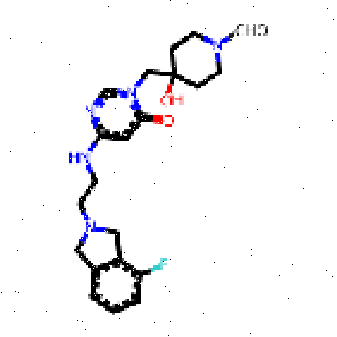 O=CN1CCC(O)(Cn2cnc(NCCN3Cc4cccc(F)c4C3)cc2=O)CC1